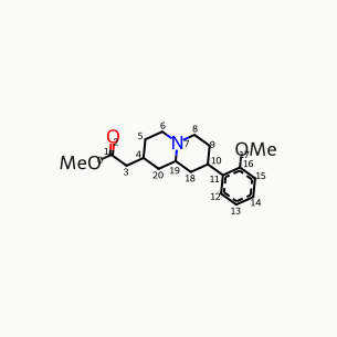 COC(=O)CC1CCN2CCC(c3ccccc3OC)CC2C1